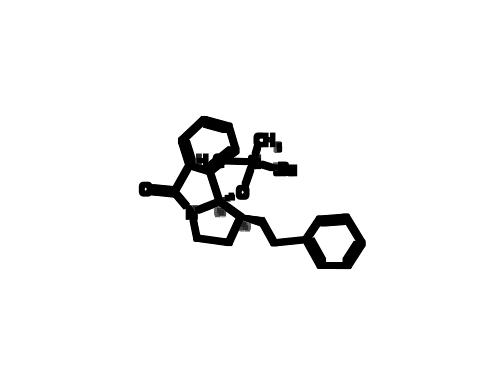 CC(C)(C)[Si](C)(C)O[C@@]12c3ccccc3C(=O)N1CC[C@@H]2CCc1ccccc1